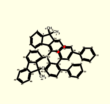 CC1(C)c2ccccc2-c2c(N(c3cccc(-c4ccccc4)c3-c3cccc(-c4ccccc4)c3)c3cccc4c3C(C)(C)c3ccccc3-4)cccc21